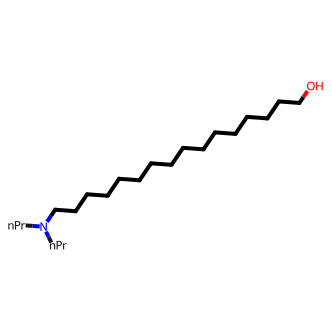 CCCN(CCC)CCCCCCCCCCCCCCCCO